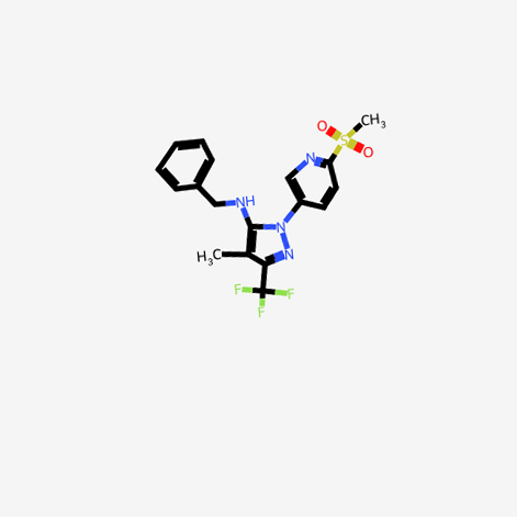 Cc1c(C(F)(F)F)nn(-c2ccc(S(C)(=O)=O)nc2)c1NCc1ccccc1